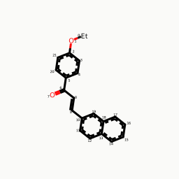 CCOc1ccc(C(=O)C=Cc2ccc3ccccc3c2)cc1